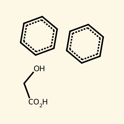 O=C(O)CO.c1ccccc1.c1ccccc1